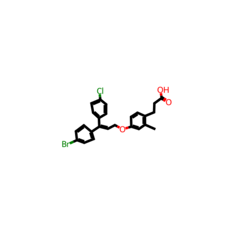 Cc1cc(OC/C=C(\c2ccc(Cl)cc2)c2ccc(Br)cc2)ccc1CCC(=O)O